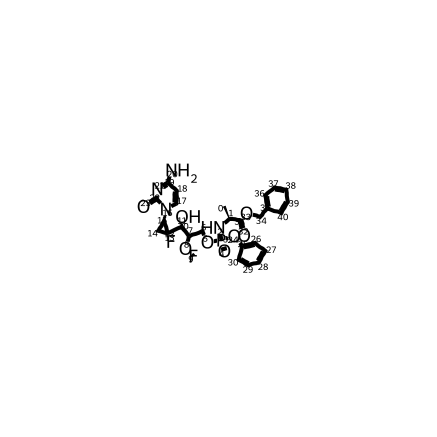 C[C@H](NP(=O)(OCC(OF)[C@H](O)C1(F)C[C@H]1n1ccc(N)nc1=O)Oc1ccccc1)C(=O)OCc1ccccc1